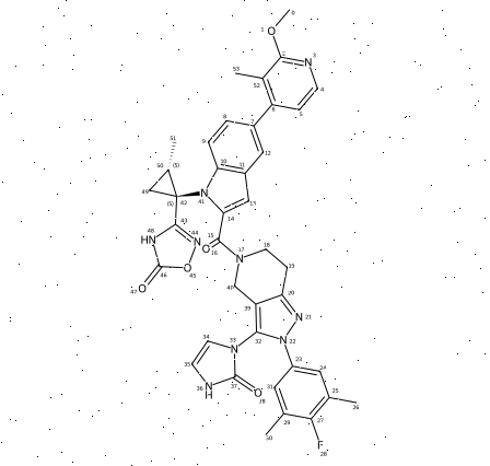 COc1nccc(-c2ccc3c(c2)cc(C(=O)N2CCc4nn(-c5cc(C)c(F)c(C)c5)c(-n5cc[nH]c5=O)c4C2)n3[C@@]2(c3noc(=O)[nH]3)C[C@@H]2C)c1C